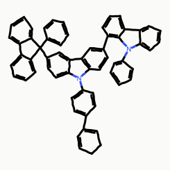 C1=CC(c2ccc(-n3c4ccc(-c5cccc6c7ccccc7n(-c7ccccc7)c56)cc4c4cc(C5(c6ccccc6)c6ccccc6-c6ccccc65)ccc43)cc2)=CCC1